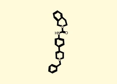 O=C(Nc1ccc(C2=CCN(Cc3ccccc3)CC2)cc1)N1CCc2ccccc2C1